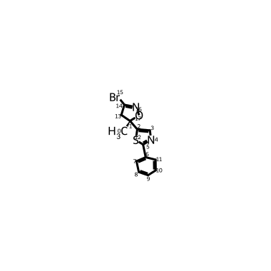 C[C@@]1(c2cnc(-c3ccccc3)s2)CC(Br)=NO1